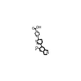 COc1cc2ccncc2cc1-c1ccc(N2CCN(C(=O)O)CC2)nn1